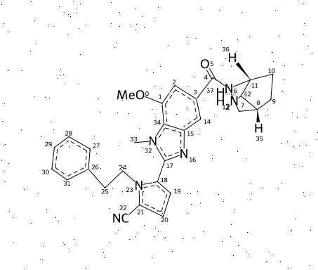 COc1cc(C(=O)N2C[C@H]3CC[C@@H]2[C@@H]3N)cc2nc(-c3ccc(C#N)n3CCc3ccccc3)n(C)c12